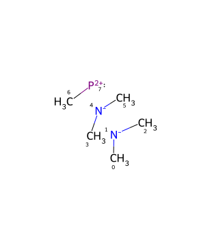 C[N-]C.C[N-]C.C[P+2]